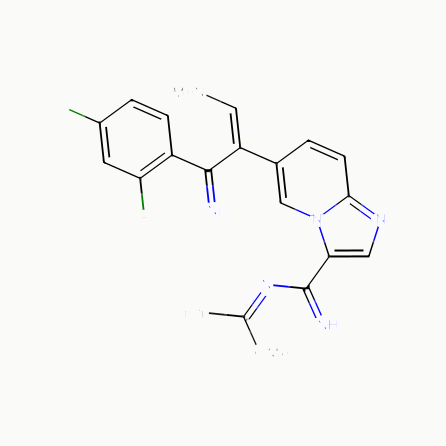 CCC/C(=N/C(=N)c1cnc2ccc(/C(=C/NC)C(=N)c3ccc(F)cc3F)cn12)OC